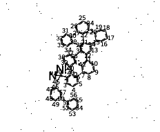 NC1(c2cccc(-c3cccc(-c4cc(-c5ccccc5)c(-c5ccccc5)c(-c5ccccc5)c4-c4ccccc4)c3)c2)N=C1c1cccc(-c2ccccc2)c1